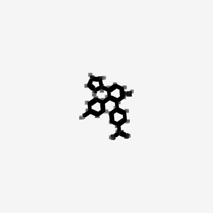 Cl.O=[N+]([O-])c1ccc(-c2cccc(-n3ncnn3)c2-c2ccc(I)cc2)cc1